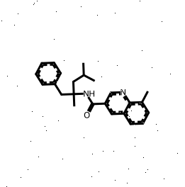 Cc1cccc2cc(C(=O)NC(C)(Cc3ccccc3)CC(C)C)cnc12